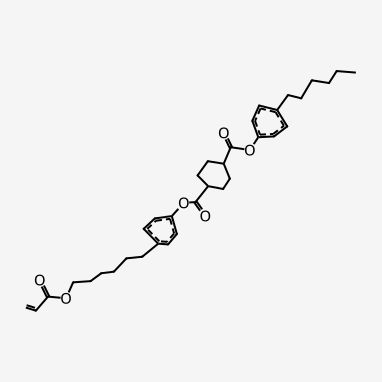 C=CC(=O)OCCCCCCc1ccc(OC(=O)C2CCC(C(=O)Oc3ccc(CCCCCC)cc3)CC2)cc1